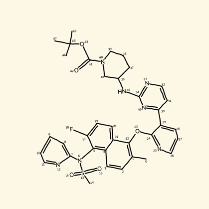 Cc1ccc2c(N(c3ccccn3)S(C)(=O)=O)c(F)ccc2c1Oc1ncccc1-c1ccnc(NC2CCCN(C(=O)OC(C)(C)C)C2)n1